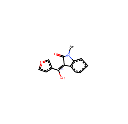 CC(=O)N1C(=O)/C(=C(/O)c2ccoc2)c2ccccc21